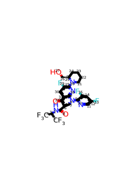 O=C(NC(C(F)(F)F)C(F)(F)F)c1cn(-c2ncc(F)cc2F)c2nc(N3CCCC[C@@H]3CO)c(F)cc2c1=O